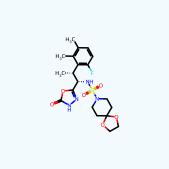 Cc1ccc(F)c([C@@H](C)[C@H](NS(=O)(=O)N2CCC3(CC2)OCCO3)c2n[nH]c(=O)o2)c1C